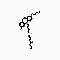 CCOC(=O)/C=C/CNCCCCN1c2ccc(OCCOC)cc2CCc2ccc(Cl)cc21